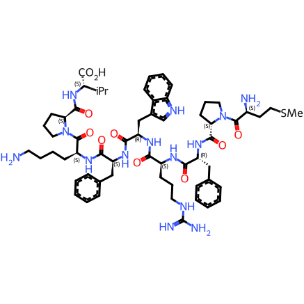 CSCC[C@H](N)C(=O)N1CCC[C@H]1C(=O)N[C@H](Cc1ccccc1)C(=O)N[C@@H](CCCNC(=N)N)C(=O)N[C@H](Cc1c[nH]c2ccccc12)C(=O)N[C@@H](Cc1ccccc1)C(=O)N[C@@H](CCCCN)C(=O)N1CCC[C@H]1C(=O)N[C@H](C(=O)O)C(C)C